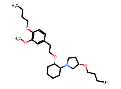 CCCCOc1ccc(CCO[C@H]2CCCCC2N2CC[C@@H](OCCCC)C2)cc1OC